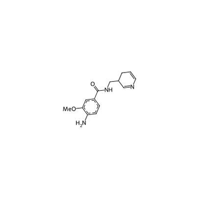 COc1cc(C(=O)NCC2C=NC=CC2)ccc1N